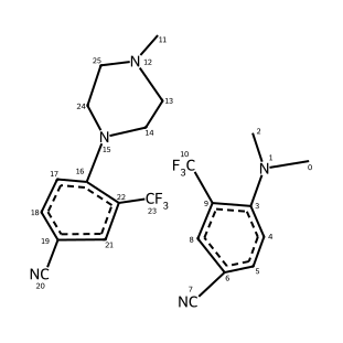 CN(C)c1ccc(C#N)cc1C(F)(F)F.CN1CCN(c2ccc(C#N)cc2C(F)(F)F)CC1